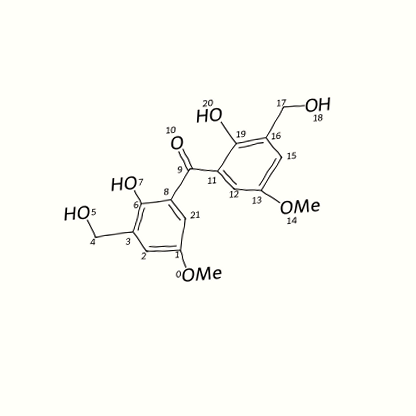 COc1cc(CO)c(O)c(C(=O)c2cc(OC)cc(CO)c2O)c1